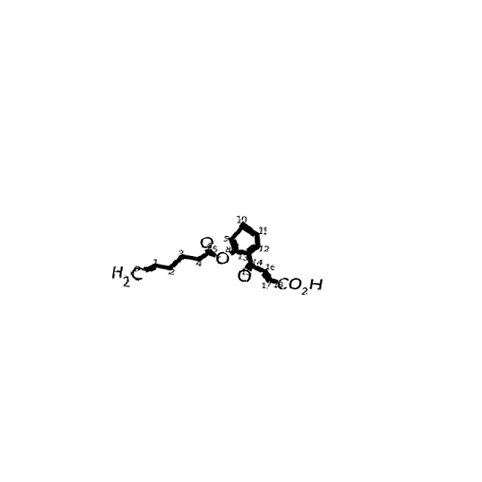 C=CCCCC(=O)Oc1ccccc1C(=O)C=CC(=O)O